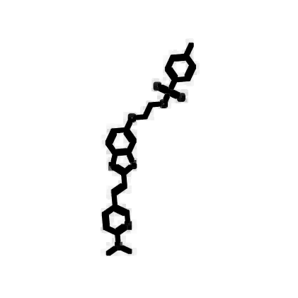 Cc1ccc(S(=O)(=O)OCCOc2ccc3nc(/C=C/c4ccc(N(C)C)nc4)sc3c2)cc1